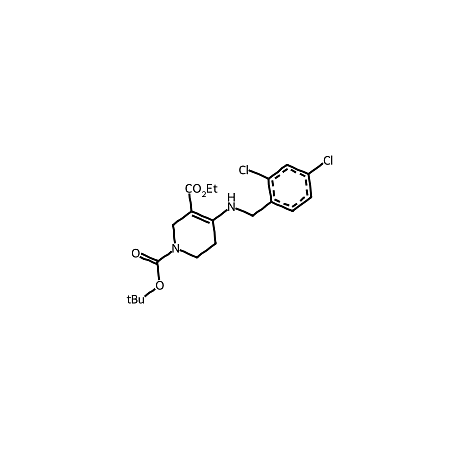 CCOC(=O)C1=C(NCc2ccc(Cl)cc2Cl)CCN(C(=O)OC(C)(C)C)C1